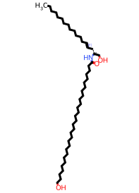 CCCCCCCCCCCCC/C=C/C[C@H](CO)NC(=O)CCCCCCCCCCCCCCCCCCCCCCCCCCCCCO